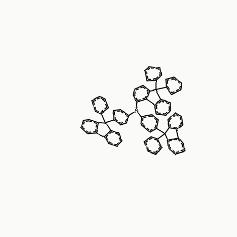 c1ccc(C2(c3ccc(N(c4ccc(C5(c6ccccc6)c6ccccc6-c6ccccc65)cc4)c4cccc5c4-c4ccccc4C5(c4ccccc4)c4ccccc4)cc3)c3ccccc3-c3ccccc32)cc1